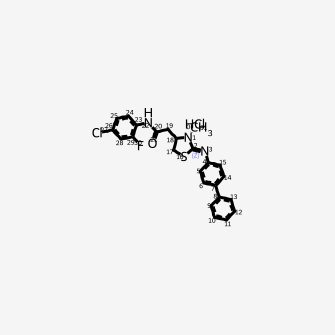 CN1/C(=N/c2ccc(-c3ccccc3)cc2)SCC1CC(=O)Nc1ccc(Cl)cc1F.Cl